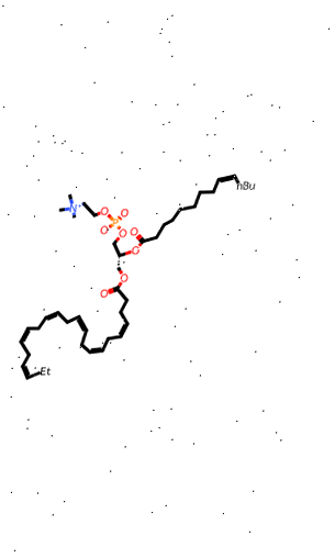 CC/C=C\C/C=C\C/C=C\C/C=C\C/C=C\C/C=C\CCC(=O)OC[C@H](COP(=O)([O-])OCC[N+](C)(C)C)OC(=O)CCCCCCC/C=C\CCCC